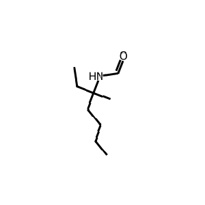 CCCCC(C)(CC)NC=O